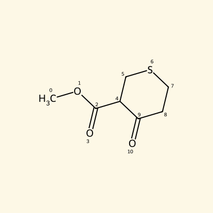 COC(=O)C1CSCCC1=O